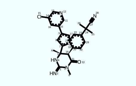 CN1C(=N)N[C@](C)(c2cc(-c3cncc(Cl)c3)cs2)[C@@H](c2ccc(C(C)(C)C#N)cc2)C1=O